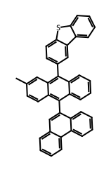 Cc1ccc2c(-c3cc4ccccc4c4ccccc34)c3ccccc3c(-c3ccc4sc5ccccc5c4c3)c2c1